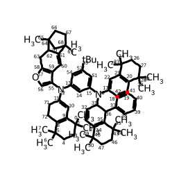 CC1(C)CCC(C)(C)C2=C1C=C(N(c1cc(N(c3ccc4c(c3)C(C)(C)CCC4(C)C)C3C=CC4=C(C3c3ccccc3)C(C)(C)CCC4(C)C)cc(C(C)(C)C)c1)c1coc3c1C=C1C(C3)C3(C)CCC1(C)C3)CC2